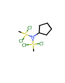 CS(Cl)(Cl)N(C1CCCC1)S(C)(Cl)Cl